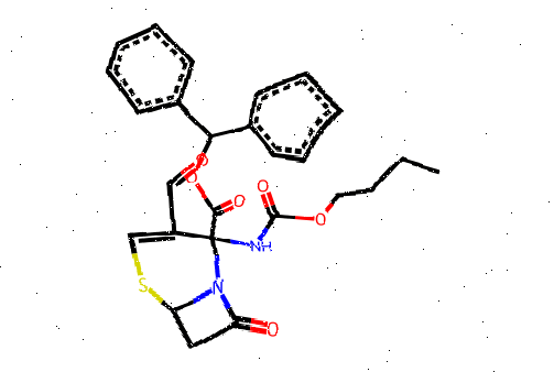 CCCCOC(=O)NC1(C(=O)OC(c2ccccc2)c2ccccc2)C(C=O)=CSC2CC(=O)N21